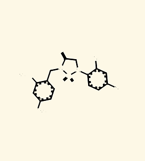 COc1ccc(CN2C(=O)CN(c3ccc([N+](=O)[O-])cc3[N+](=O)[O-])S2(=O)=O)c(OC)c1